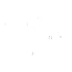 C[C@H](c1ccccc1)N(Cc1ccccc1)C(CC(=O)O)c1cc(F)cc(-c2ccc(F)cc2F)c1